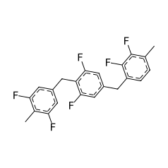 Cc1ccc(Cc2cc(F)c(Cc3cc(F)c(C)c(F)c3)c(F)c2)c(F)c1F